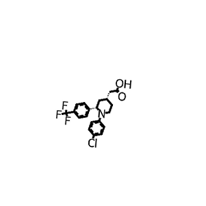 O=C(O)C[C@@H]1CCN(c2ccc(Cl)cc2)[C@H](c2ccc(C(F)(F)F)cc2)C1